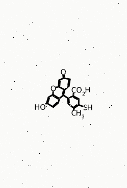 Cc1cc(-c2c3ccc(=O)cc-3oc3cc(O)ccc23)c(C(=O)O)cc1S